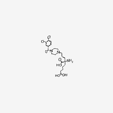 NC(CCCCB(O)O)(CCCN1CCN(C(=O)c2ccc(Cl)c(Cl)c2)CC1)C(=O)O